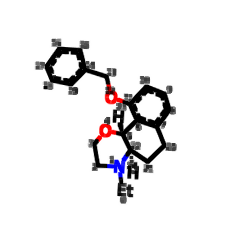 CCN1CCO[C@@H]2c3c(cccc3OCc3ccccc3)CC[C@H]21